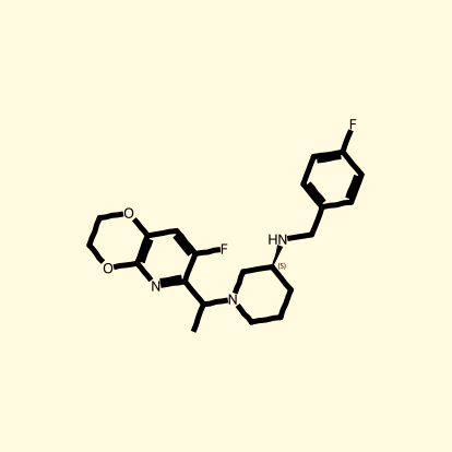 CC(c1nc2c(cc1F)OCCO2)N1CCC[C@H](NCc2ccc(F)cc2)C1